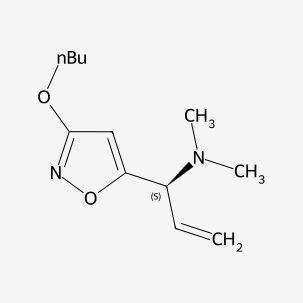 C=C[C@@H](c1cc(OCCCC)no1)N(C)C